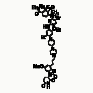 CCOc1cc(N2CCC(N3CCN(CCCc4cc(OC)cc5c4oc(=O)n5C4CCC(=O)NC4=O)CC3)CC2)c(CC)cc1Nc1ncc(Br)c(Nc2ccc3c(=O)n(CC)ncc3c2P(C)(C)=O)n1